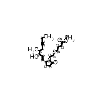 CCC#CC[C@H](C)[C@H](O)C=C[C@H]1CCC(=O)N1CCSCCCC(=O)OC